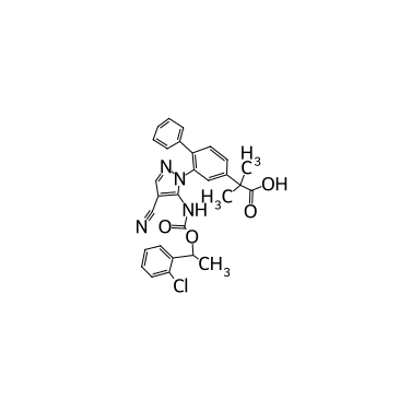 CC(OC(=O)Nc1c(C#N)cnn1-c1cc(C(C)(C)C(=O)O)ccc1-c1ccccc1)c1ccccc1Cl